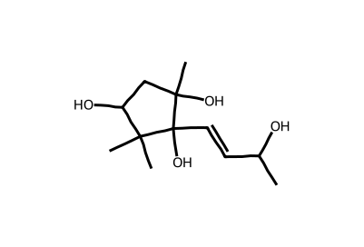 CC(O)/C=C/C1(O)C(C)(O)CC(O)C1(C)C